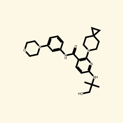 CC(C)(CO)Nc1ccc(C(=O)Nc2cccc(N3CCOCC3)c2)c(N2CCC3(CC2)CC3)n1